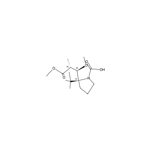 COC(=O)[C@H](C)[C@@H](OC)[C@@]1(C(C)(C)C)CCCN1C(=O)O